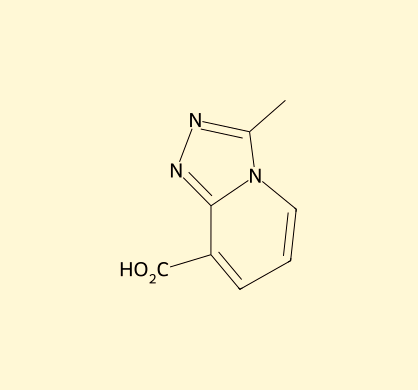 Cc1nnc2c(C(=O)O)cccn12